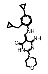 N=C1N=C(N2CCOCC2)NC(=O)/C1=C/Nc1ccc(C2CC2)cc1CC1CC1